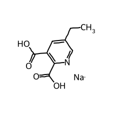 CCc1cnc(C(=O)O)c(C(=O)O)c1.[Na]